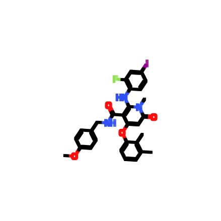 COc1ccc(CNC(=O)c2c(Oc3cccc(C)c3C)cc(=O)n(C)c2Nc2ccc(I)cc2F)cc1